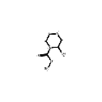 CC(C)(C)OC(=O)N1CCOCC1O